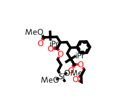 COC(=O)C(C)(CC(CC(CC(C)(C(=O)OCC1CO1)C(C)C)c1ccccc1)C(=O)OCCC[Si](C)(OC)OC)C(C)C